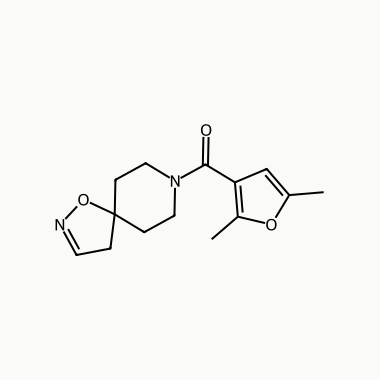 Cc1cc(C(=O)N2CCC3(CC=NO3)CC2)c(C)o1